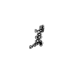 COCCOCOc1ccc(N2CCc3cc(-c4cnc(C(F)(F)F)cc4Br)ccc3C2=O)cc1NS(C)(=O)=O